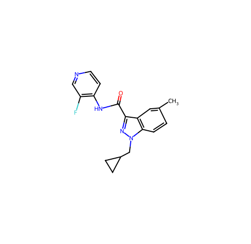 Cc1ccc2c(c1)c(C(=O)Nc1ccncc1F)nn2CC1CC1